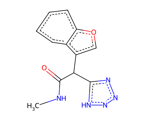 CNC(=O)C(c1nnn[nH]1)c1coc2ccccc12